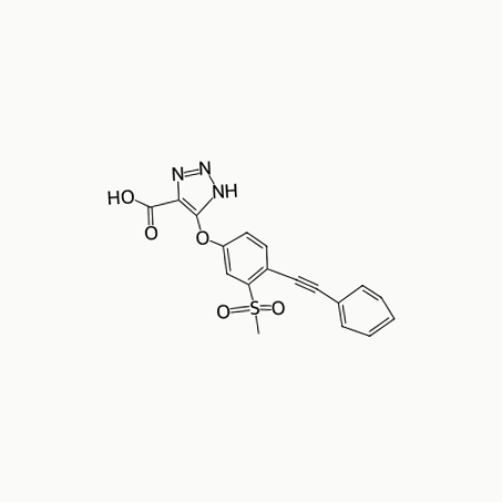 CS(=O)(=O)c1cc(Oc2[nH]nnc2C(=O)O)ccc1C#Cc1ccccc1